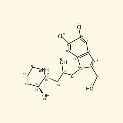 OCc1nc2cc(Cl)c(Cl)cc2n1CC(O)C[C@H]1NCCC[C@@H]1O